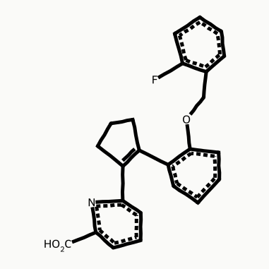 O=C(O)c1cccc(C2=C(c3ccccc3OCc3ccccc3F)CCC2)n1